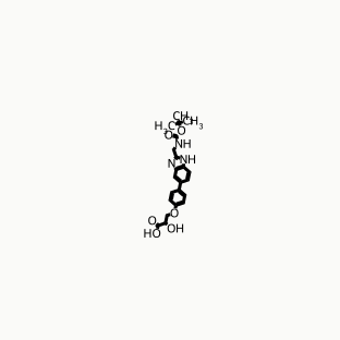 CC(C)(C)OC(=O)NCc1nc2cc(-c3ccc(OCC(O)C(=O)O)cc3)ccc2[nH]1